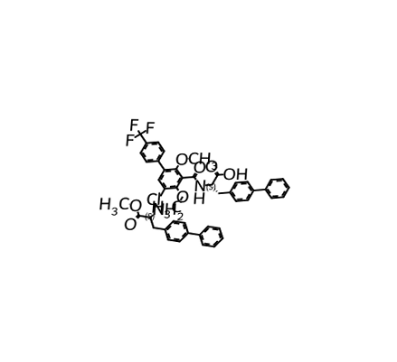 COC(=O)[C@@H](N)Cc1ccc(-c2ccccc2)cc1.COc1c(Cl)cc(-c2ccc(C(F)(F)F)cc2)c(OC)c1C(=O)N[C@@H](Cc1ccc(-c2ccccc2)cc1)C(=O)O